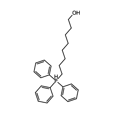 OCCCCCCCC[PH](c1ccccc1)(c1ccccc1)c1ccccc1